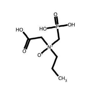 CCC[N+]([O-])(CC(=O)O)CP(=O)(O)O